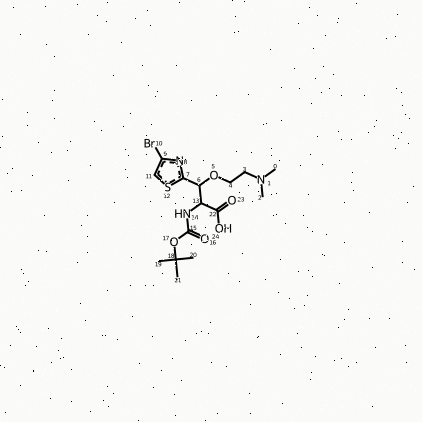 CN(C)CCOC(c1nc(Br)cs1)C(NC(=O)OC(C)(C)C)C(=O)O